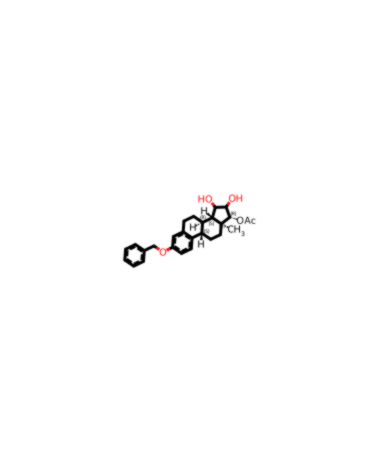 CC(=O)O[C@H]1C(O)C(O)[C@H]2[C@@H]3CCc4cc(OCc5ccccc5)ccc4[C@H]3CC[C@]12C